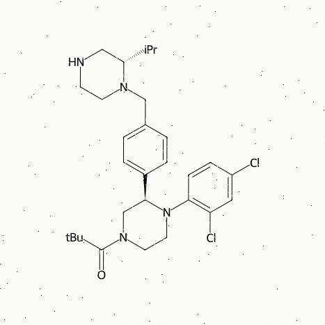 CC(C)[C@H]1CNCCN1Cc1ccc([C@@H]2CN(C(=O)C(C)(C)C)CCN2c2ccc(Cl)cc2Cl)cc1